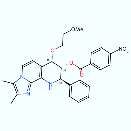 COCCO[C@H]1c2ccn3c(C)c(C)nc3c2N[C@H](c2ccccc2)[C@H]1OC(=O)c1ccc([N+](=O)[O-])cc1